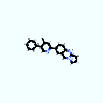 Cc1cc(-c2ccc3nc4cccn4cc3c2)ncc1-c1ccccc1